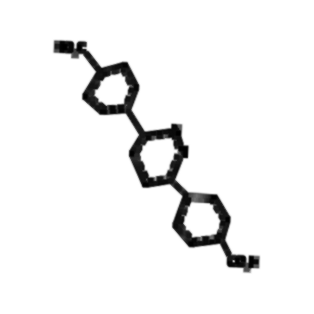 O=C(O)c1ccc(-c2ccc(-c3ccc(C(=O)O)cc3)nn2)cc1